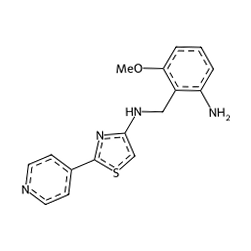 COc1cccc(N)c1CNc1csc(-c2ccncc2)n1